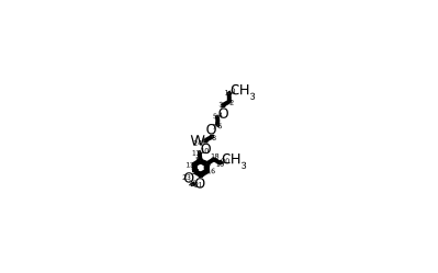 CCCCOCCOCCOCc1cc2c(cc1CCC)OCO2.[W]